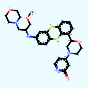 COCC(CN1CCOCC1)Nc1ccc2c(c1)Sc1cccc(C3CN(c4cc[nH]c(=O)c4)CCO3)c1S2